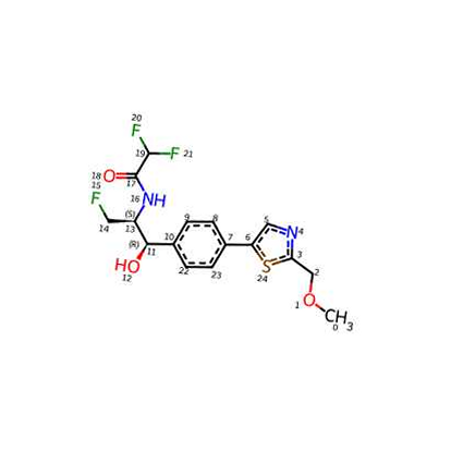 COCc1ncc(-c2ccc([C@@H](O)[C@@H](CF)NC(=O)C(F)F)cc2)s1